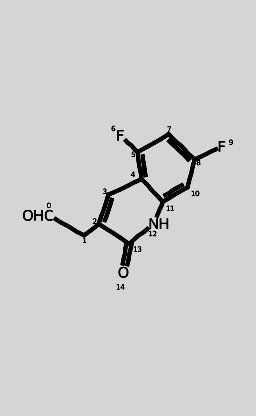 O=CCc1cc2c(F)cc(F)cc2[nH]c1=O